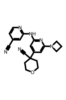 N#Cc1ccnc(Nc2cc(C3(C#N)CCOCC3)cc(N3CCC3)n2)c1